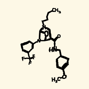 CCCCN1C=C(C(=O)NCc2ccc(OC)cc2)C2OC1N2c1cccc(C(F)(F)F)c1